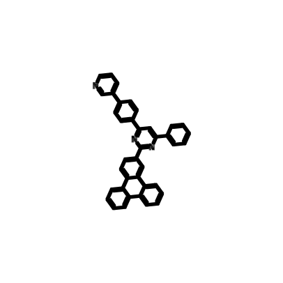 c1ccc(-c2cc(-c3ccc(-c4cccnc4)cc3)nc(-c3ccc4c5ccccc5c5ccccc5c4c3)n2)cc1